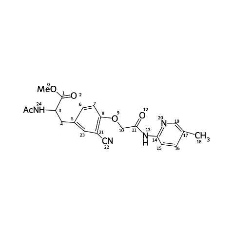 COC(=O)C(Cc1ccc(OCC(=O)Nc2ccc(C)cn2)c(C#N)c1)NC(C)=O